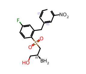 B[C@@H](CO)CS(=O)(=O)c1ccc(F)cc1CC(/C=C\C)=C/C(=C)[N+](=O)[O-]